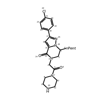 CCCCCC1CN(CC(=O)N2CCNCC2)C(=O)c2cc(-c3ccc(Cl)cc3)nn21